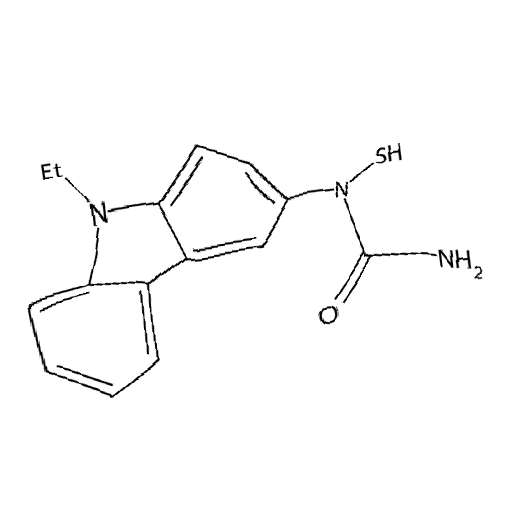 CCn1c2ccccc2c2cc(N(S)C(N)=O)ccc21